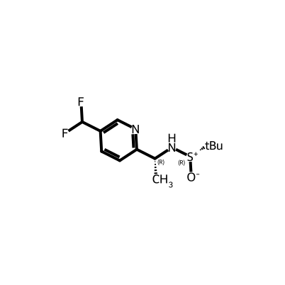 C[C@@H](N[S@@+]([O-])C(C)(C)C)c1ccc(C(F)F)cn1